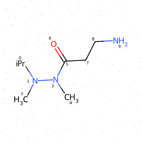 CC(C)N(C)N(C)C(=O)CCN